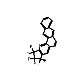 FC1(F)c2cc3ccc4cc5ccccc5cc4c3nc2C(F)(F)C1(F)F